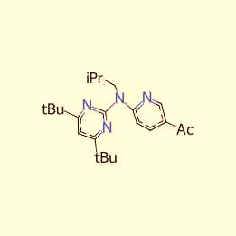 CC(=O)c1ccc(N(CC(C)C)c2nc(C(C)(C)C)cc(C(C)(C)C)n2)nc1